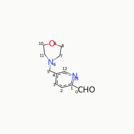 O=Cc1ccc(CN2CCOCC2)cn1